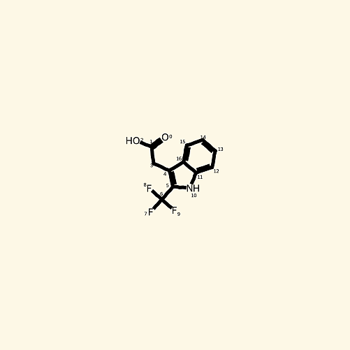 O=C(O)Cc1c(C(F)(F)F)[nH]c2ccccc12